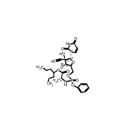 C#C[C@@]1(O)[C@H](O)C(COP(=O)(N[C@H](C)C(=O)OC(CCC)CCC)Oc2ccccc2)O[C@H]1n1ccc(=O)[nH]c1=O